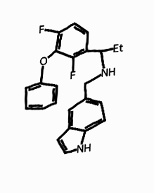 CCC(NCc1ccc2[nH]ccc2c1)c1ccc(F)c(Oc2ccccc2)c1F